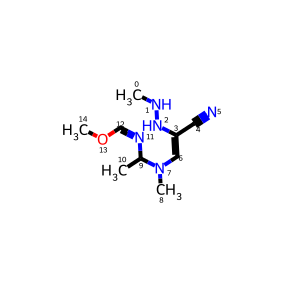 CNN/C(C#N)=C\N(C)C(C)/N=C\OC